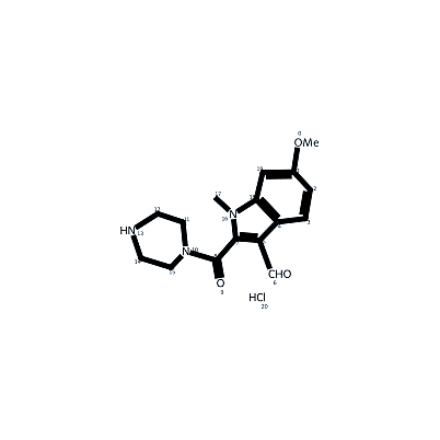 COc1ccc2c(C=O)c(C(=O)N3CCNCC3)n(C)c2c1.Cl